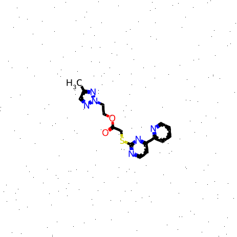 Cc1cnn(CCOC(=O)CSc2nccc(-c3ccccn3)n2)n1